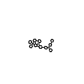 c1ccc(-c2ccc(N(c3ccccc3)c3ccc(-c4ccc5c6ccc7c8c6n(c5c4)-c4ccccc4-c4cccc(c4-8)C7(c4ccccc4)c4ccccc4)cc3)cc2)cc1